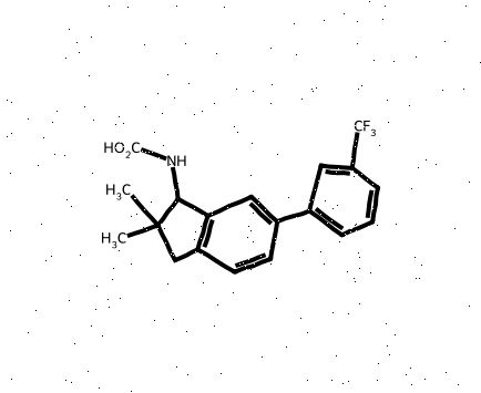 CC1(C)Cc2ccc(-c3cccc(C(F)(F)F)c3)cc2C1NC(=O)O